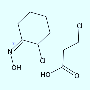 O/N=C1/CCCCC1Cl.O=C(O)CCCl